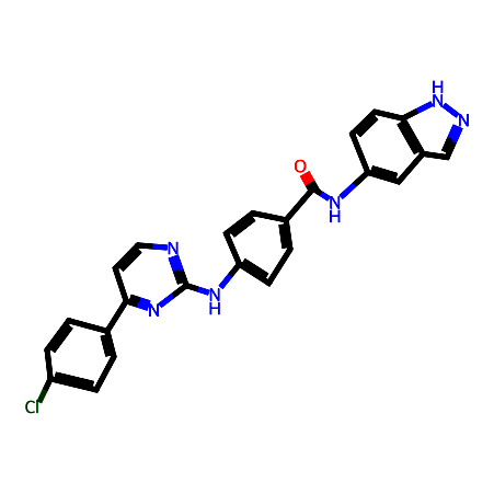 O=C(Nc1ccc2[nH]ncc2c1)c1ccc(Nc2nccc(-c3ccc(Cl)cc3)n2)cc1